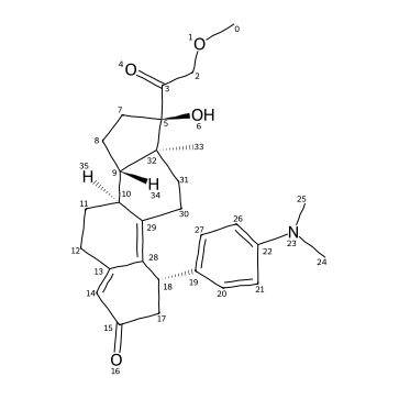 COCC(=O)[C@@]1(O)CC[C@H]2[C@@H]3CCC4=CC(=O)C[C@@H](c5ccc(N(C)C)cc5)C4=C3CC[C@@]21C